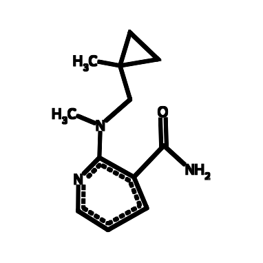 CN(CC1(C)CC1)c1ncccc1C(N)=O